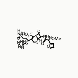 CON=C(C(=O)NC1C(=O)N2C(C(=O)O)=C(C(CCS(N)(=O)=O)Sc3nnn[nH]3)CS[C@@H]12)c1ccco1